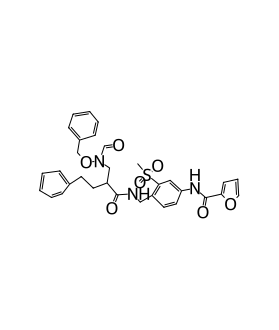 CS(=O)(=O)c1cc(NC(=O)c2ccco2)ccc1CNC(=O)C(CCc1ccccc1)CN(C=O)OCc1ccccc1